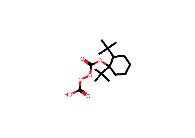 CC(C)(C)C1CCCCC1(OC(=O)OOC(=O)O)C(C)(C)C